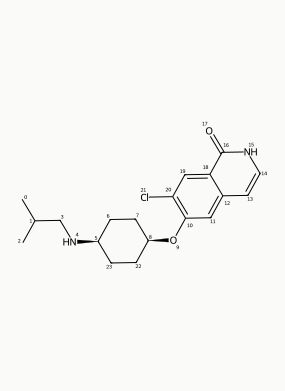 CC(C)CN[C@H]1CC[C@@H](Oc2cc3cc[nH]c(=O)c3cc2Cl)CC1